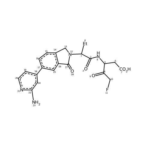 CCC(C(=O)NC(CC(=O)O)C(=O)CF)N1Cc2ccc(-c3ccnc(N)c3)cc2C1=O